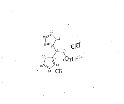 [Cl-].[Cl-].[Cl-].[Hf+3][O]CC(C1=CC=CC1)C1=CC=CC1